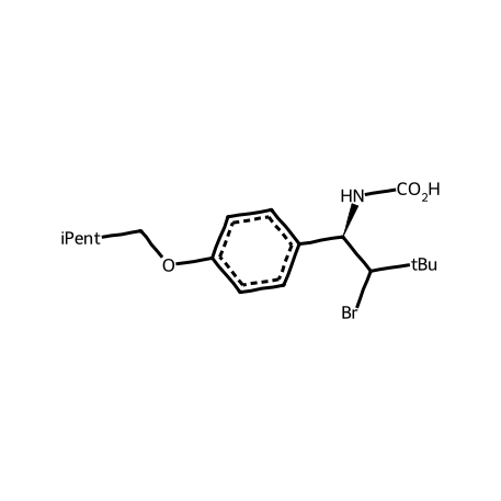 CCCC(C)COc1ccc([C@@H](NC(=O)O)C(Br)C(C)(C)C)cc1